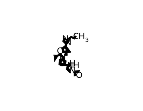 CCCC1=NCC(C2=C3CC3(CN(C(=O)C3CC3)c3cccc(C(=N)/C=C\NC4COC4)c3)CC2)=N1